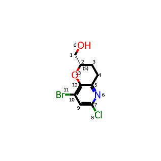 OC[C@@H]1CCc2nc(Cl)cc(Br)c2O1